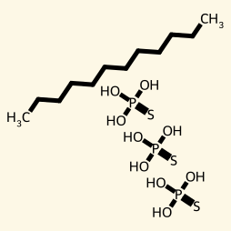 CCCCCCCCCCCC.OP(O)(O)=S.OP(O)(O)=S.OP(O)(O)=S